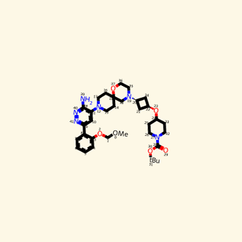 COCOc1ccccc1-c1cc(N2CCC3(CC2)CN([C@H]2C[C@H](OC4CCN(C(=O)OC(C)(C)C)CC4)C2)CCO3)c(N)nn1